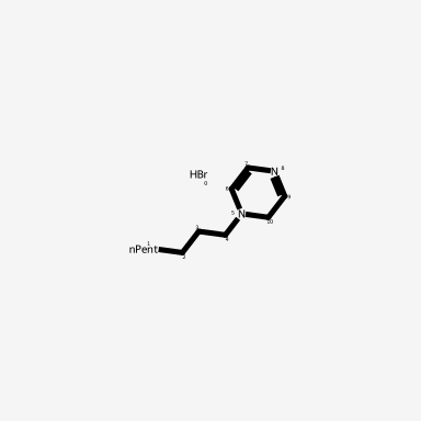 Br.CCCCCCCCN1C=CN=CC1